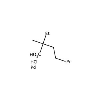 CCC(C)(CCC(C)C)C(=O)O.Cl.[Pd]